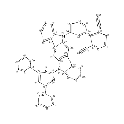 N#Cc1cccc(C#N)c1-c1cccc(-n2c3ccccc3c3cc4c(cc32)c2ccccc2n4-c2nc(-c3ccccc3)cc(-c3ccccc3)n2)c1